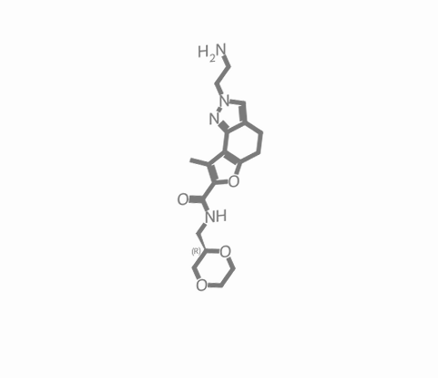 Cc1c(C(=O)NC[C@@H]2COCCO2)oc2c1-c1nn(CCN)cc1CC2